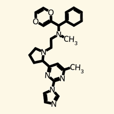 Cc1cc(C2CCCN2CCN(C)C(C2=CC=CCC2)C2=COC=CO2)nc(-n2ccnc2)n1